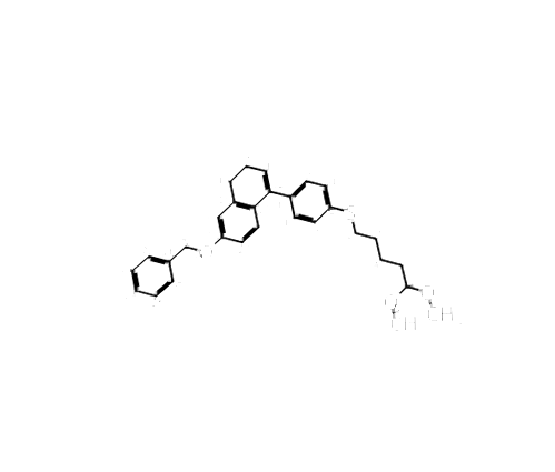 COC(CCCCSc1ccc(C2=CCCc3cc(OCc4ccccc4)ccc32)cc1)OC